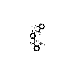 Nc1ccccc1C(=O)Nc1cccc(NC(=O)c2ccccc2N)c1